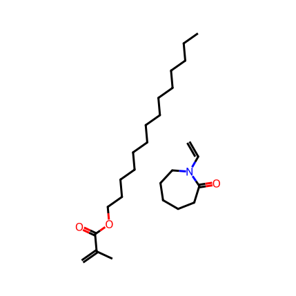 C=C(C)C(=O)OCCCCCCCCCCCCCC.C=CN1CCCCCC1=O